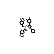 CCCCn1c(-c2ccccc2)nc(-c2ccc(C)c(C)c2)c1CN(Cc1ccc2c(c1)OCO2)Cc1ccc2c(c1)OCO2